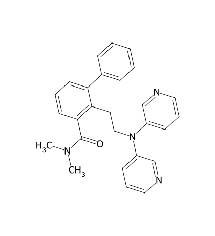 CN(C)C(=O)c1cccc(-c2ccccc2)c1CCN(c1cccnc1)c1cccnc1